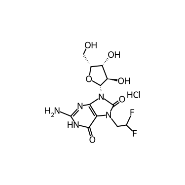 Cl.Nc1nc2c(c(=O)[nH]1)n(CC(F)F)c(=O)n2[C@@H]1O[C@H](CO)[C@H](O)[C@H]1O